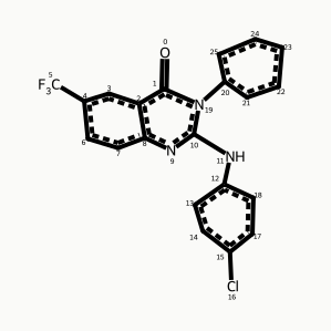 O=c1c2cc(C(F)(F)F)ccc2nc(Nc2ccc(Cl)cc2)n1-c1ccccc1